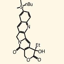 CCCC[Si](C)(C)c1ccc2nc3c(cc2c1)Cn1c-3cc2c(c1=O)COC(=O)[C@]2(O)CC